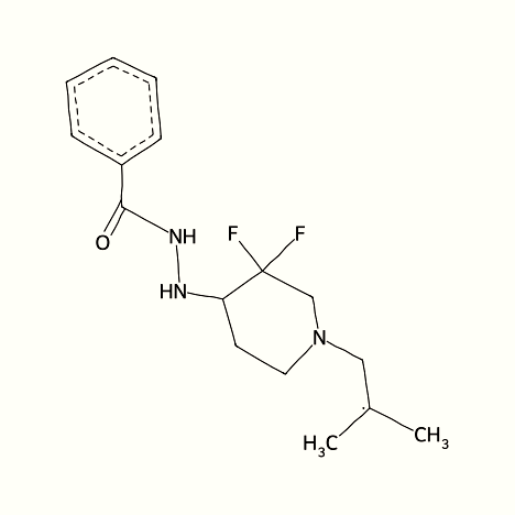 C[C](C)CN1CCC(NNC(=O)c2ccccc2)C(F)(F)C1